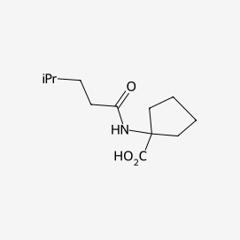 CC(C)CCC(=O)NC1(C(=O)O)CCCC1